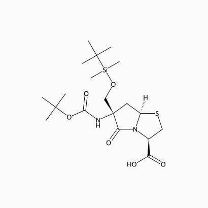 CC(C)(C)OC(=O)N[C@]1(CO[Si](C)(C)C(C)(C)C)C[C@H]2SC[C@@H](C(=O)O)N2C1=O